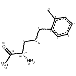 Cc1ccccc1CSC[C@H](N)C(=O)O